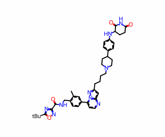 Cc1cc(-c2ccnc3cc(CCCCN4CCC(c5ccc(NC6CCC(=O)NC6=O)cc5)CC4)nn23)ccc1CNC(=O)c1noc(C(C)(C)C)n1